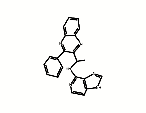 CC(Nc1nccc2[nH]cnc12)c1nc2ccccc2nc1-c1ccccc1